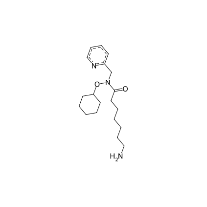 NCCCCCCC(=O)N(Cc1ccccn1)OC1CCCCC1